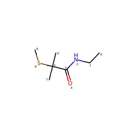 CCNC(=O)C(C)(C)SC